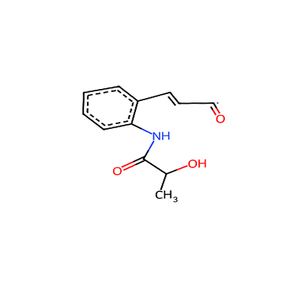 CC(O)C(=O)Nc1ccccc1/C=C/[C]=O